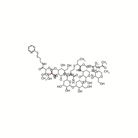 CCC(SCCNC(=O)C1O[C@@H](OC2[C@H](O)C(CO)O[C@@H](O[C@@H]3C(C(=O)O)O[C@@H](OC4[C@H](O)C(CO)O[C@@H](C)[C@H]4NC(C)=O)[C@@H](O)C3O)[C@H]2NC(C)=O)[C@@H](O)C(O)[C@@H]1O[C@@H]1OC(CO)[C@@H](O)C(O[C@@H]2OC(C(=O)NCCSSc3ccccn3)[C@@H](OC)C(O)[C@@H]2O)[C@@H]1NC(C)=O)C(=O)OCCN(C)C